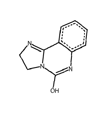 OC1=Nc2ccccc2C2=NCCN12